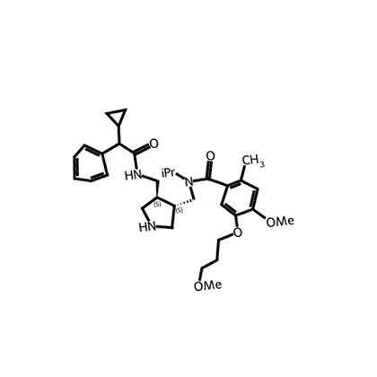 COCCCOc1cc(C(=O)N(C[C@@H]2CNC[C@H]2CNC(=O)C(c2ccccc2)C2CC2)C(C)C)c(C)cc1OC